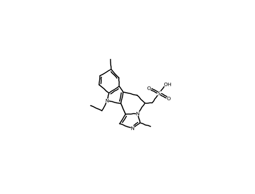 CCn1c2c(c3cc(C)ccc31)CC(CS(=O)(=O)O)n1c-2cnc1C